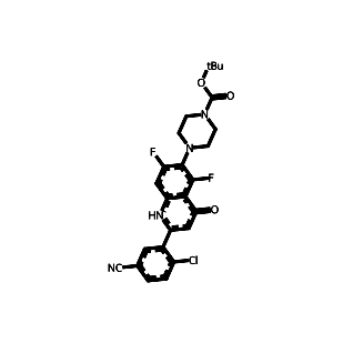 CC(C)(C)OC(=O)N1CCN(c2c(F)cc3[nH]c(-c4cc(C#N)ccc4Cl)cc(=O)c3c2F)CC1